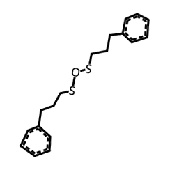 c1ccc(CCCSOSCCCc2ccccc2)cc1